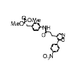 COP(=O)(Cc1ccc(NC(=O)CCc2cnoc2-c2ccc([N+](=O)[O-])cc2)cc1)OC